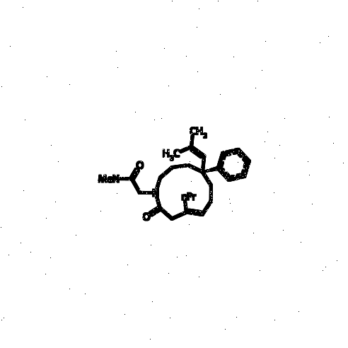 CCC/C1=C\CC[C@](C=C(C)C)(c2ccccc2)CCCN(CC(=O)NC)C(=O)C1